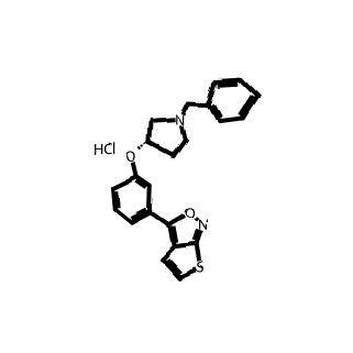 Cl.c1ccc(CN2CC[C@H](Oc3cccc(-c4onc5sccc45)c3)C2)cc1